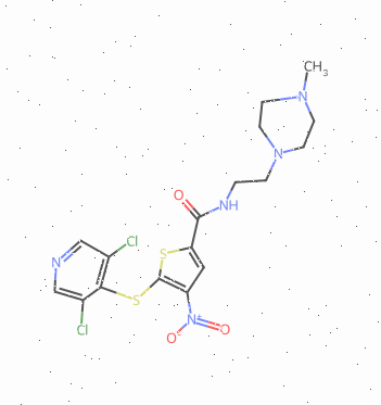 CN1CCN(CCNC(=O)c2cc([N+](=O)[O-])c(Sc3c(Cl)cncc3Cl)s2)CC1